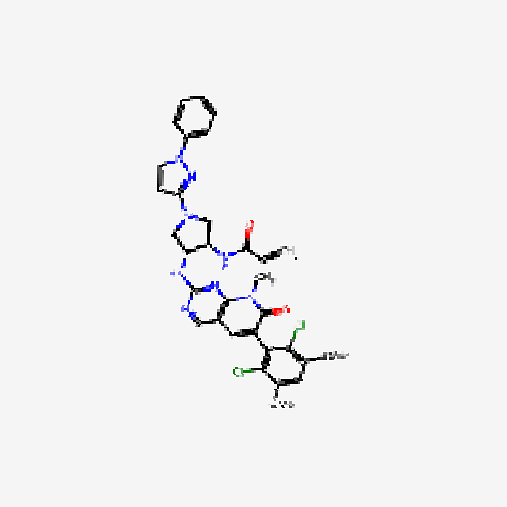 C=CC(=O)N[C@@H]1CN(c2ccn(-c3ccccc3)n2)C[C@@H]1Nc1ncc2cc(-c3c(Cl)c(OC)cc(OC)c3Cl)c(=O)n(C)c2n1